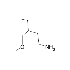 CCC(CCN)COC